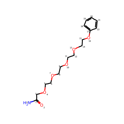 NC(=O)COCCOCCOCCOCCOc1ccccc1